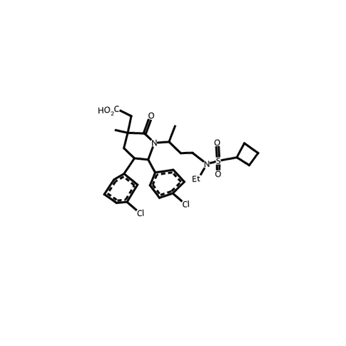 CCN(CCC(C)N1C(=O)C(C)(CC(=O)O)CC(c2cccc(Cl)c2)C1c1ccc(Cl)cc1)S(=O)(=O)C1CCC1